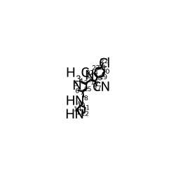 Cn1c(-c2cncc(CN[C@@H]3CCNC3)c2)c(C#N)c2ccc(Cl)cc21